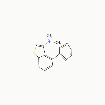 CN(C)c1csc2cccc(-c3ccccc3)c12